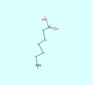 O=C(O)CCCC[CH2][Mo]